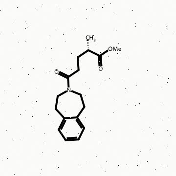 COC(=O)[C@@H](C)CCC(=O)N1CCc2ccccc2CC1